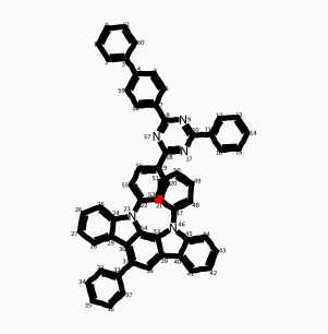 c1ccc(-c2ccc(-c3nc(-c4ccccc4)nc(-c4ccc(-n5c6ccccc6c6c(-c7ccccc7)cc7c8ccccc8n(-c8ccccc8)c7c65)cc4)n3)cc2)cc1